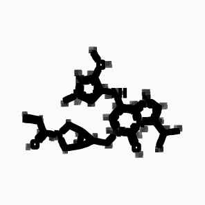 C=CC(=O)N1CC2C(C1)C2Cn1cc(Nc2cn(C)nc2OC)c2ncc(C(C)C)n2c1=O